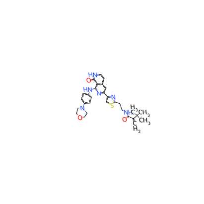 C=C(C(=O)NCCc1nc(-c2cc3cc[nH]c(=O)c3c(Nc3ccc(N4CCOCC4)cc3)n2)cs1)C(C)(C)C